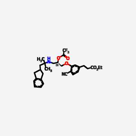 CCOC(=O)CCc1ccc(C#N)c(OC[C@H](CNC(C)(C)CC2Cc3ccccc3C2)OC(=O)C(F)(F)F)c1